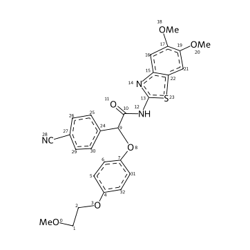 COCCOc1ccc(OC(C(=O)Nc2nc3cc(OC)c(OC)cc3s2)c2ccc(C#N)cc2)cc1